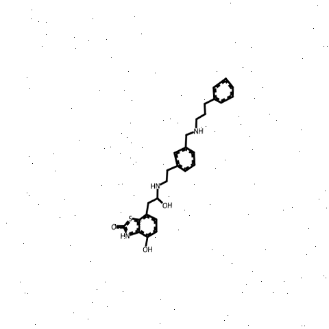 O=c1[nH]c2c(O)ccc(CC(O)NCCc3cccc(CNCCCc4ccccc4)c3)c2s1